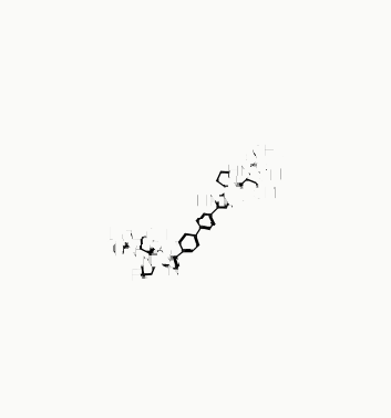 COC(=O)N[C@H](C(=O)N1CCC[C@H]1C1=NCC(c2ccc(-c3ccc(-c4cnc([C@@H]5CC(F)(F)CN5C(=O)[C@@H](NC(=O)OC)C(C)C)[nH]4)cc3)cc2)N1)C(C)C